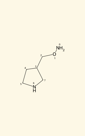 NOCC1CCNC1